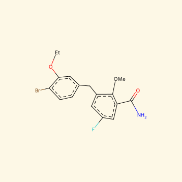 CCOc1cc(Cc2cc(F)cc(C(N)=O)c2OC)ccc1Br